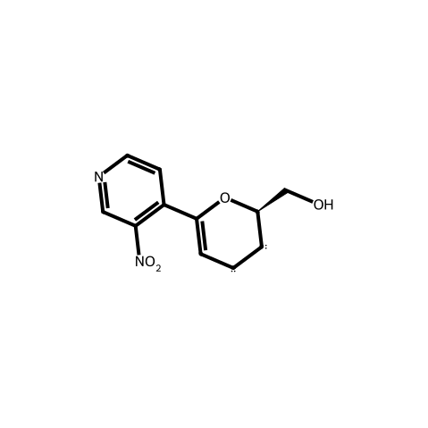 O=[N+]([O-])c1cnccc1C1=C[C][C][C@H](CO)O1